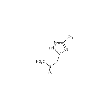 CC(C)(C)N(Cc1nc(C(F)(F)F)n[nH]1)C(=O)O